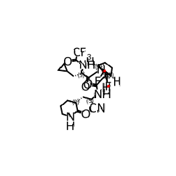 N#C[C@H](C[C@H]1CCCNC1=O)NC(=O)[C@H]1[C@@H]2CC[C@@H](CC2(F)F)N1C(=O)[C@H](CC1CC1)NC(=O)C(F)(F)F